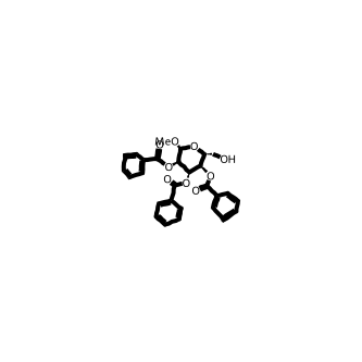 CO[C@H]1O[C@H](CO)[C@@H](OC(=O)c2ccccc2)[C@H](OC(=O)c2ccccc2)[C@H]1OC(=O)c1ccccc1